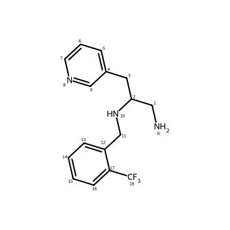 NCC(Cc1cccnc1)NCc1ccccc1C(F)(F)F